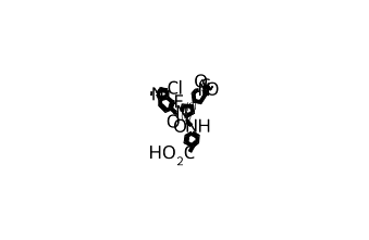 Cn1cc(Cl)c2c(F)c(C(=O)N3C[C@H](C4CCN(S(C)(=O)=O)CC4)C[C@H]3C(=O)Nc3ccc(C(=O)O)cc3)ccc21